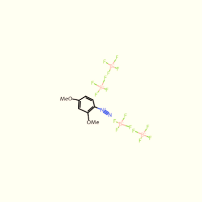 COc1ccc([N+]#N)c(OC)c1.F[B-](F)(F)F.F[B-](F)(F)F.F[B-](F)(F)F.F[B-](F)(F)F